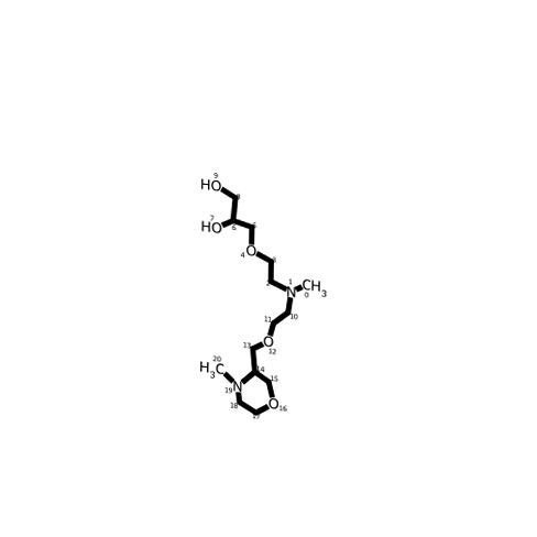 CN(CCOCC(O)CO)CCOCC1COCCN1C